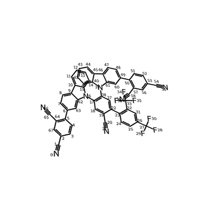 N#Cc1ccc(-c2ccc3c4ccccc4n(-c4cc(C#N)c(-c5ccc(C(F)(F)F)cc5C(F)(F)F)cc4-n4c5ccccc5c5ccc(-c6ccc(C#N)cc6C#N)cc54)c3c2)c(C#N)c1